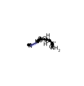 CC[N+]1(CCc2ccc(NC(=O)CNC(=O)CCCN(C)S(=O)(=O)c3ccc4c(c3)C(C)(C)C(/C=C/C=C/C=C/C=C3/N(C)c5ccccc5C3(C)C)=[N+]4C)cc2)CCN(CC(N)=O)CC1